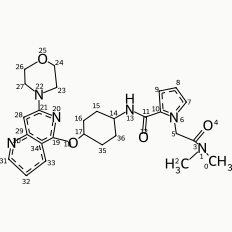 CN(C)C(=O)Cn1cccc1C(=O)NC1CCC(Oc2nc(N3CCOCC3)cc3ncccc23)CC1